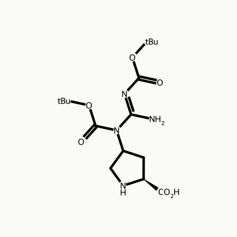 CC(C)(C)OC(=O)/N=C(\N)N(C(=O)OC(C)(C)C)C1CN[C@H](C(=O)O)C1